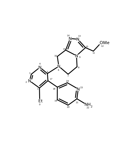 CCc1ncnc(N2CCn3c(COC)nnc3C2)c1-c1ccc(N)nc1